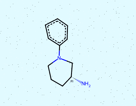 N[C@@H]1CCCN(c2ccccc2)C1